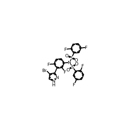 O=S(=O)(c1cc(F)ccc1F)N(c1ccc(F)c(-c2n[nH]cc2Br)c1F)S(=O)(=O)c1cc(F)ccc1F